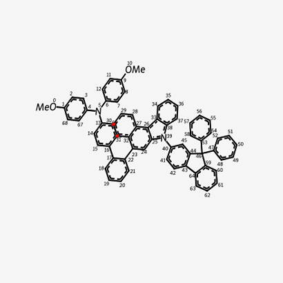 COc1ccc(N(c2ccc(OC)cc2)c2ccc(-c3ccccc3-c3cc4c(c5ccccc35)c3ccccc3n4-c3ccc4c(c3)C(c3ccccc3)(c3ccccc3)c3ccccc3-4)cc2)cc1